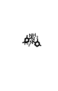 Cc1ccc(C(N)N(C)C(N)c2ccc(C)cc2C)c(C)c1